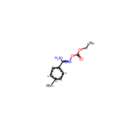 CC(C)(C)COC(=O)O/N=C(\N)c1ccc(C(C)(C)C)cc1